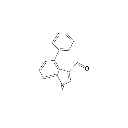 Cn1cc(C=O)c2c(-c3ccccc3)cccc21